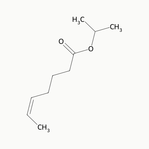 C/C=C\CCCC(=O)OC(C)C